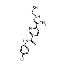 CC(=NNCS)c1ccc(C(=S)Nc2ccc(Cl)cc2)cn1